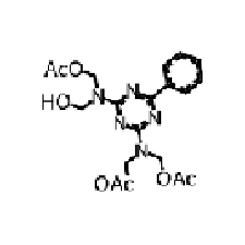 CC(=O)OCN(CO)c1nc(-c2ccccc2)nc(N(COC(C)=O)COC(C)=O)n1